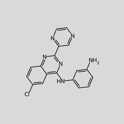 Nc1cccc(Nc2nc(-c3cnccn3)nc3ccc(Cl)cc23)c1